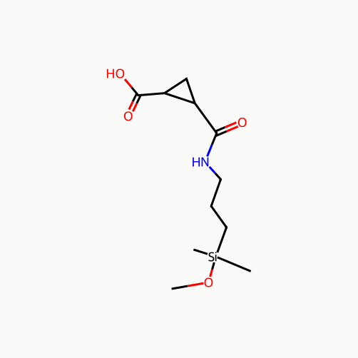 CO[Si](C)(C)CCCNC(=O)C1CC1C(=O)O